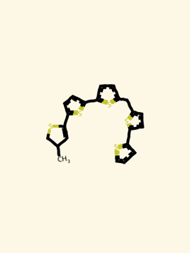 CC1C=C(c2ccc(-c3ccc(Cc4ccc(-c5cccs5)s4)s3)s2)SC1